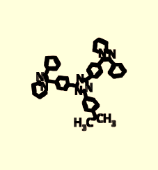 CC(C)c1ccc(-c2nc(-c3ccc(-c4c(-c5ccccc5)nc5ccccn45)cc3)nc(-c3ccc(-c4c(-c5ccccc5)nc5ccccn45)cc3)n2)cc1